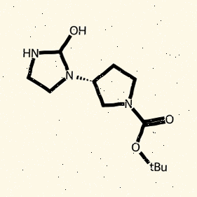 CC(C)(C)OC(=O)N1CC[C@@H](N2CCNC2O)C1